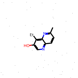 CCc1c(O)cnc2ccc(C)nc12